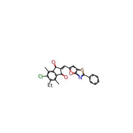 CCc1c(C)c2c(c(C)c1Cl)C(=O)/C(=C/c1cc3sc(-c4ccccc4)nc3o1)C2=O